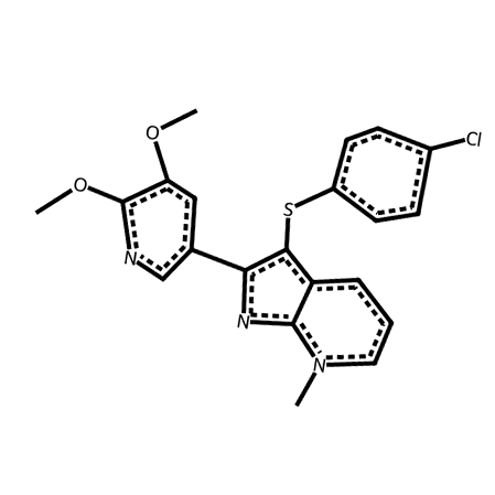 COc1cc(-c2nc3n(C)cccc-3c2Sc2ccc(Cl)cc2)cnc1OC